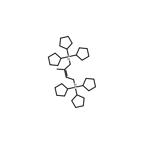 CC(=CC[PH](C1CCCC1)(C1CCCC1)C1CCCC1)C[PH](C1CCCC1)(C1CCCC1)C1CCCC1